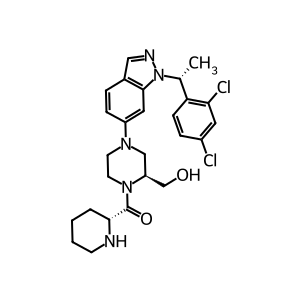 C[C@H](c1ccc(Cl)cc1Cl)n1ncc2ccc(N3CCN(C(=O)[C@H]4CCCCN4)[C@H](CO)C3)cc21